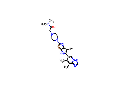 Cc1c(-c2[nH]c3sc(N4CCN(CC(=O)N(C)C)CC4)nc3c2C(C)C)cn2ncnc2c1C